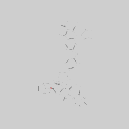 CC(=O)c1c(C)c2cnc(Nc3ccc(N4CCC(CN5CC6CCC(C5)N6c5cc6c(cc5F)C(=O)N(C5CCC(=O)NC5=O)C6=O)CC4)cn3)nc2n(C2CCCC2)c1=O